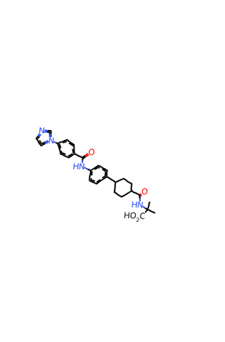 CC(C)(NC(=O)C1CCC(c2ccc(NC(=O)c3ccc(-n4ccnc4)cc3)cc2)CC1)C(=O)O